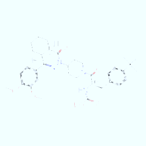 COc1ccc(C2=NN(C3CCN(C(=O)[C@@H](Cc4ccc(C(C)(C)C)cc4)NC(=O)O)CC3)C(=O)[C@@H]3CCCC[C@H]23)cc1OC